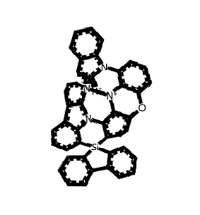 c1ccc2c(c1)-c1ccccc1[Si]21c2ccc3c4c2-n2c5c1cccc5c1ccc[n+](c12)[N+]41c2c(cccc2-n2c4ccccc4c4ccc[n+]1c42)O3